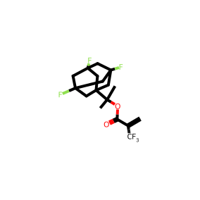 C=C(C(=O)OC(C)(C)C12CC3(F)CC(F)(CC(F)(C3)C1)C2)C(F)(F)F